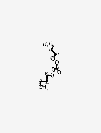 CCCCOOC(=O)OOCCCC